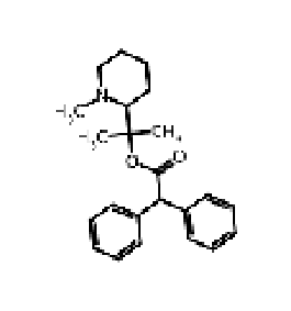 CN1CCCCC1C(C)(C)OC(=O)C(c1ccccc1)c1ccccc1